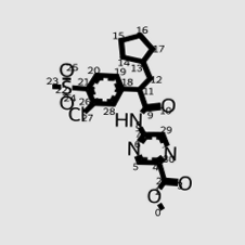 COC(=O)c1cnc(NC(=O)C(CC2CCCC2)c2ccc(S(C)(=O)=O)c(Cl)c2)cn1